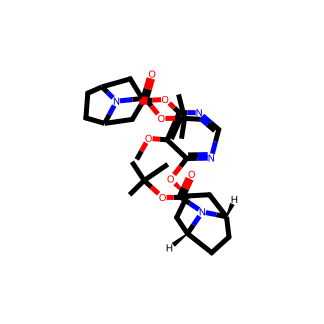 COc1c(OC2CC3CCC(C2)N3C(=O)OC(C)(C)C)ncnc1O[C@@H]1C[C@H]2CC[C@@H](C1)N2C(=O)OC(C)(C)C